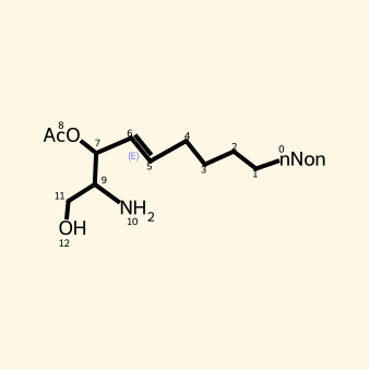 CCCCCCCCCCCCC/C=C/C(OC(C)=O)C(N)CO